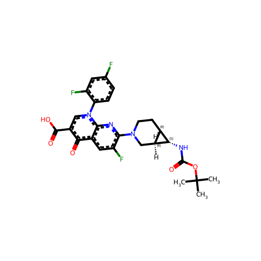 CC(C)(C)OC(=O)N[C@H]1[C@@H]2CCN(c3nc4c(cc3F)c(=O)c(C(=O)O)cn4-c3ccc(F)cc3F)C[C@@H]21